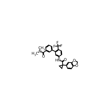 CN(C)C(=O)c1cccc(-c2cc(NC(=O)C3(c4ccc5c(c4)OCO5)CC3)ccc2C(F)(F)F)c1